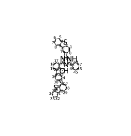 C1#CC2Sc3ccccc3C2C=C1C1N=C(c2cccc3c2oc2cc(C4CCCC5C6CCCC6SC45)ccc23)NC(C2CC=CCC2)N1